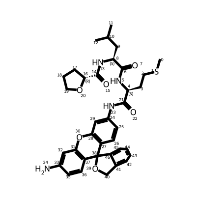 CSCC[C@H](NC(=O)[C@H](CC(C)C)NC(=O)[C@H]1CCCO1)C(=O)Nc1ccc2c(c1)Oc1cc(N)ccc1C21OCc2ccccc21